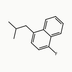 CC(C)Cc1ccc(F)c2ccccc12